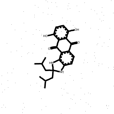 CC(C)CC1(CC(C)C)Nc2ccc3c(c2N1)C(=O)c1c(O)ccc(O)c1C3=O